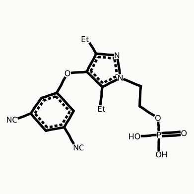 [C-]#[N+]c1cc(C#N)cc(Oc2c(CC)nn(CCOP(=O)(O)O)c2CC)c1